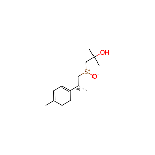 CC1=CC=C([C@@H](C)C[S+]([O-])CC(C)(C)O)CC1